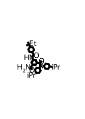 CCC(C)(C)C1CCC(C(=O)Nc2cc(C(N)=O)cc(C(=O)N(C3CCC(C(C)C)CC3)C3CCC(C(C)C)CC3)c2)CC1